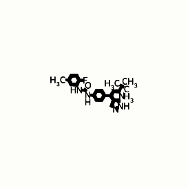 Cc1ccc(F)c(NC(=O)Nc2ccc(-c3cc(C(C)(C)C)nc4[nH]ncc34)cc2)c1